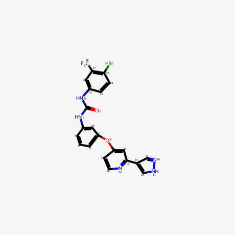 O=C(Nc1cccc(Oc2ccnc(-c3cn[nH]c3)c2)c1)Nc1ccc(Br)c(C(F)(F)F)c1